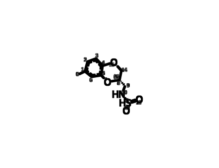 Cc1ccc2c(c1)O[C@@H](CN[SH](=O)=O)CO2